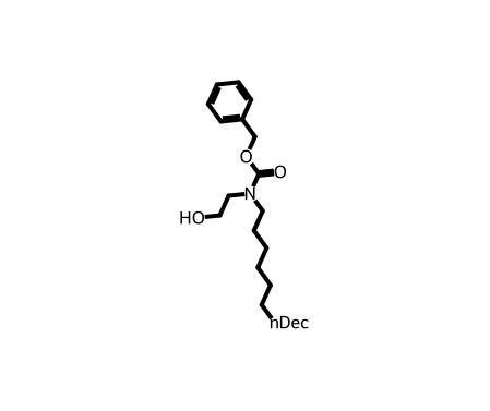 CCCCCCCCCCCCCCCCN(CCO)C(=O)OCc1ccccc1